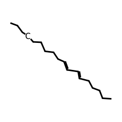 CCCCCC=CC=CCCCCCCCCC